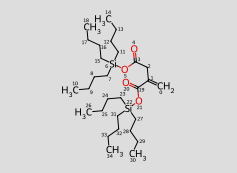 C=C(CC(=O)O[Si](CCCC)(CCCC)CCCC)C(=O)O[Si](CCCC)(CCCC)CCCC